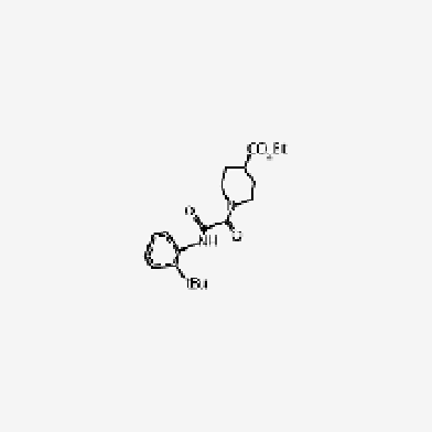 CCOC(=O)C1CCN(C(=O)C(=O)Nc2ccccc2C(C)(C)C)CC1